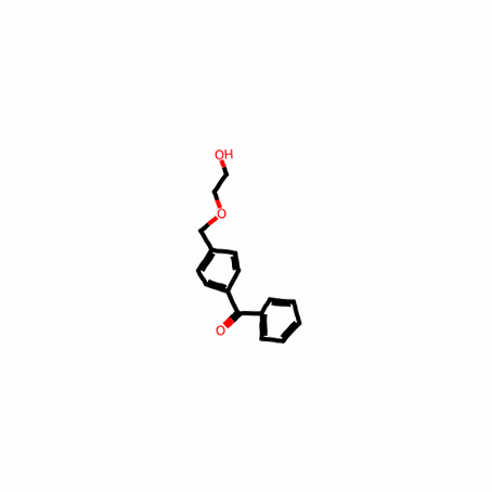 O=C(c1ccccc1)c1ccc(COCCO)cc1